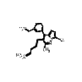 CCc1ccc2c(-c3cccc(CN)c3)c(CCCCC(=O)O)c(C)nn12